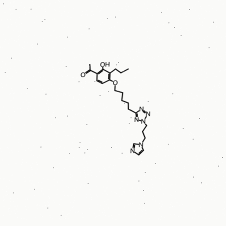 CCCc1c(OCCCCCc2nnn(CCCn3ccnc3)n2)ccc(C(C)=O)c1O